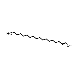 OC=CCCCCCCCCCCCCCCCO